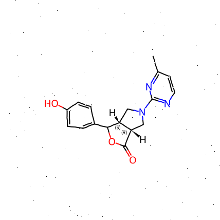 Cc1ccnc(N2C[C@@H]3C(=O)OC(c4ccc(O)cc4)[C@@H]3C2)n1